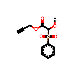 C#CCOC(=O)C(OCC)S(=O)(=O)c1ccccc1